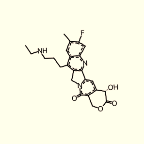 CCNCCCc1c2c(nc3cc(F)c(C)cc13)-c1cc3c(c(=O)n1C2)COC(=O)[C@H]3O